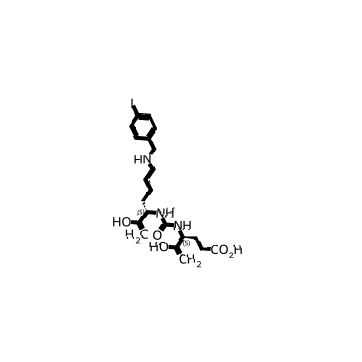 C=C(O)[C@H](CCCCNCc1ccc(I)cc1)NC(=O)N[C@@H](CCC(=O)O)C(=C)O